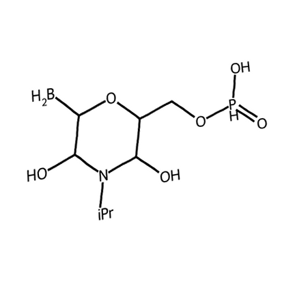 BC1OC(CO[PH](=O)O)C(O)N(C(C)C)C1O